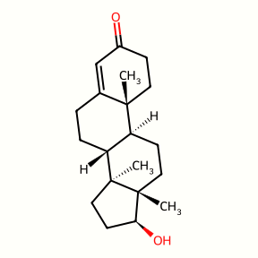 C[C@]12CCC(=O)C=C1CC[C@@H]1[C@@H]2CC[C@]2(C)[C@@H](O)CC[C@@]12C